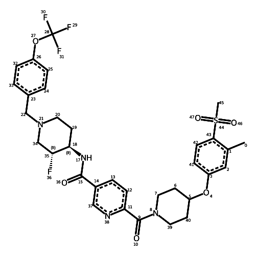 Cc1cc(OC2CCN(C(=O)c3ccc(C(=O)N[C@@H]4CCN(Cc5ccc(OC(F)(F)F)cc5)C[C@H]4F)cn3)CC2)ccc1S(C)(=O)=O